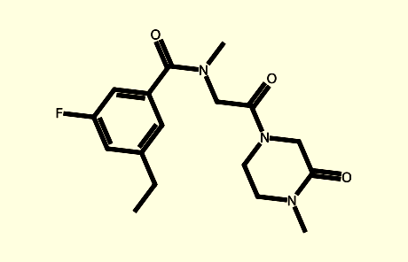 CCc1cc(F)cc(C(=O)N(C)CC(=O)N2CCN(C)C(=O)C2)c1